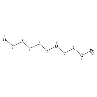 [Li][CH2]CCCCOCCOCC